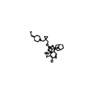 CC(C)(C)OC(=O)N1CC2CCC(C1)N2c1nc(OCC2(CN3CCC(=CF)CC3)CC2)nc2c(F)c(Cl)ncc12